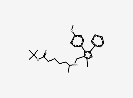 COc1ccc(-c2c(-c3ccccc3)oc(C)c2CNC(C)CCCCC(=O)OC(C)(C)C)cc1